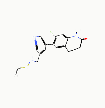 CCSNCc1cncc(-c2cc3c(cc2F)N(C)C(=O)CC3)c1